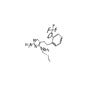 CCCCNc1nc(N)ncc1CCc1ccccc1OC(F)(F)F